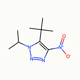 CC(C)n1nnc([N+](=O)[O-])c1C(C)(C)C